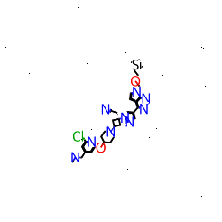 CN(C)Cc1cc(Cl)nc(OC2CCN([C@H]3C[C@@](CC#N)(n4cc(-c5ncnc6c5ccn6COCC[Si](C)(C)C)cn4)C3)CC2)c1